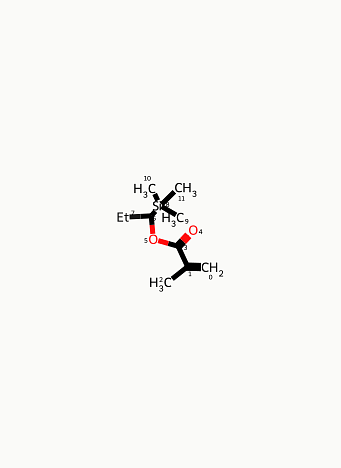 C=C(C)C(=O)OC(CC)[Si](C)(C)C